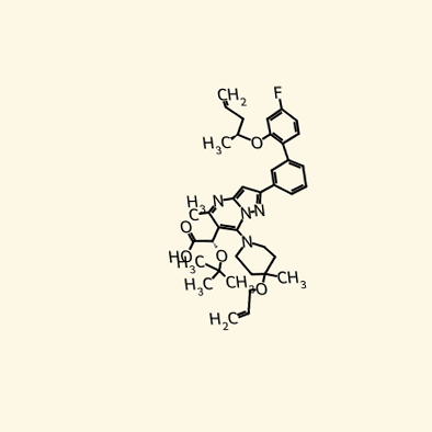 C=CCOC1(C)CCN(c2c([C@H](OC(C)(C)C)C(=O)O)c(C)nc3cc(-c4cccc(-c5ccc(F)cc5O[C@@H](C)CC=C)c4)nn23)CC1